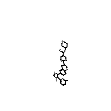 Cc1cccc(-c2[nH]cnc2-c2ccc3ncc(-c4ncc(C(=O)OC5CCNCC5)cn4)cc3c2)n1